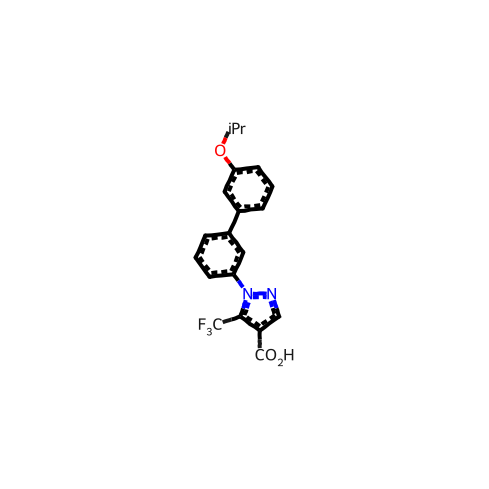 CC(C)Oc1cccc(-c2cccc(-n3ncc(C(=O)O)c3C(F)(F)F)c2)c1